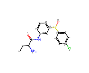 CCC(N)C(=O)Nc1cccc([S+]([O-])c2ccc(Cl)cc2)c1